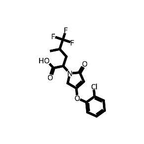 CC(CC(C(=O)O)N1CC(Oc2ccccc2Cl)=CC1=O)C(F)(F)F